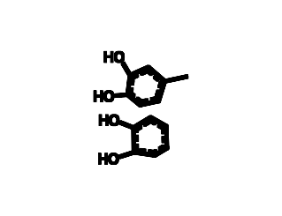 Cc1ccc(O)c(O)c1.Oc1ccccc1O